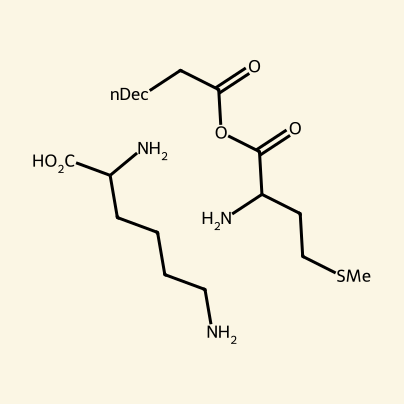 CCCCCCCCCCCC(=O)OC(=O)C(N)CCSC.NCCCCC(N)C(=O)O